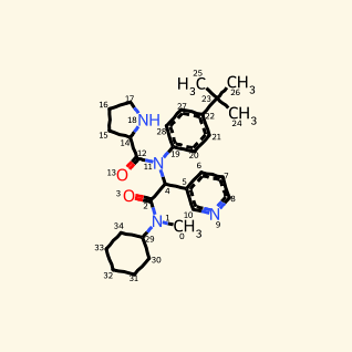 CN(C(=O)C(c1cccnc1)N(C(=O)C1CCCN1)c1ccc(C(C)(C)C)cc1)C1CCCCC1